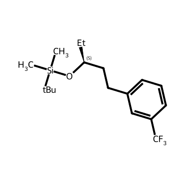 CC[C@@H](CCc1cccc(C(F)(F)F)c1)O[Si](C)(C)C(C)(C)C